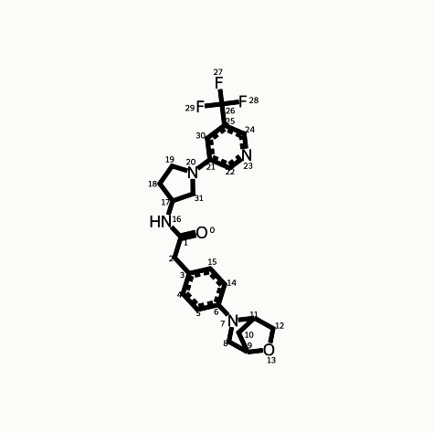 O=C(Cc1ccc(N2CC3CC2CO3)cc1)NC1CCN(c2cncc(C(F)(F)F)c2)C1